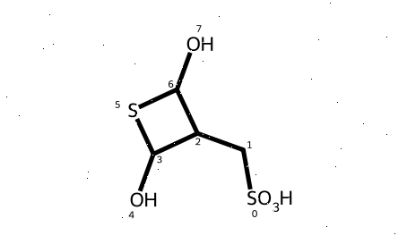 O=S(=O)(O)CC1C(O)SC1O